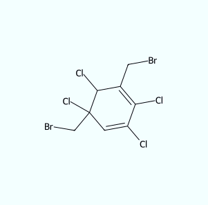 ClC1=CC(Cl)(CBr)C(Cl)C(CBr)=C1Cl